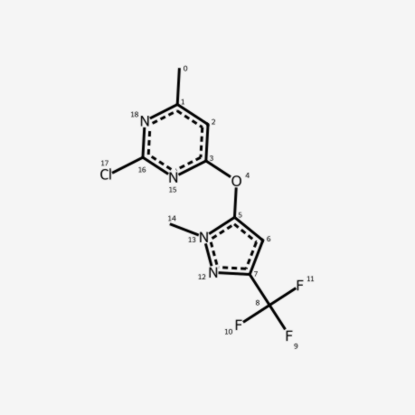 Cc1cc(Oc2cc(C(F)(F)F)nn2C)nc(Cl)n1